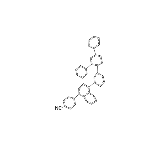 N#Cc1ccc(-c2ccc(-c3cccc(-c4ccc(-c5ccccc5)cc4-c4ccccc4)c3)c3ccccc23)cc1